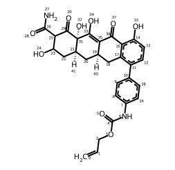 C=CCOC(=O)Nc1ccc(-c2ccc(O)c3c2C[C@H]2C[C@H]4CC(O)C(C(N)=O)C(=O)[C@@]4(O)C(O)=C2C3=O)cc1